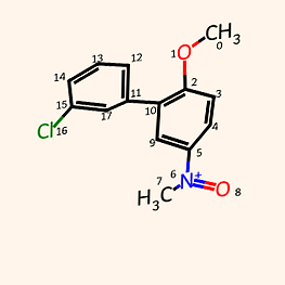 COc1ccc([N+](C)=O)cc1-c1cccc(Cl)c1